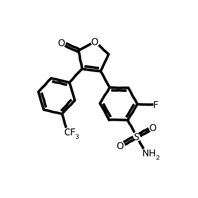 NS(=O)(=O)c1ccc(C2=C(c3cccc(C(F)(F)F)c3)C(=O)OC2)cc1F